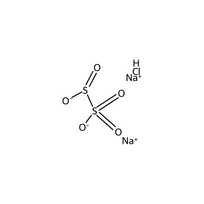 Cl.O=S([O-])S(=O)(=O)[O-].[Na+].[Na+]